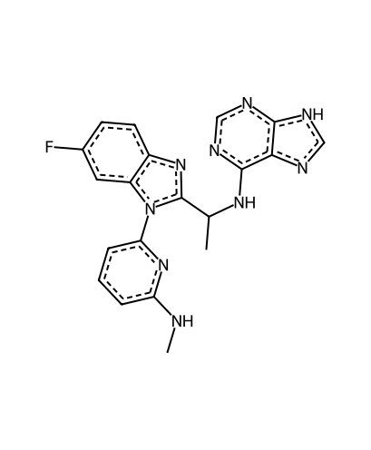 CNc1cccc(-n2c(C(C)Nc3ncnc4[nH]cnc34)nc3ccc(F)cc32)n1